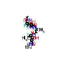 Cc1c(F)cc(C(=O)NC2CC2)cc1-c1ccc(C(=O)NCC(C)CC2CC2NC(=O)c2cc(F)c(C)c(-c3ccc(C(=O)NCC(C)(C)C)cc3O)c2)cc1O